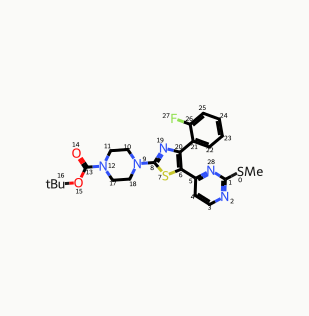 CSc1nccc(-c2sc(N3CCN(C(=O)OC(C)(C)C)CC3)nc2-c2ccccc2F)n1